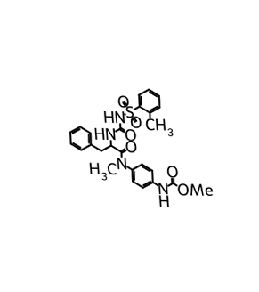 COC(=O)Nc1ccc(N(C)C(=O)C(Cc2ccccc2)NC(=O)NS(=O)(=O)c2ccccc2C)cc1